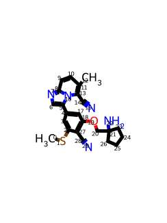 CSc1cc(-c2cnc3ccc(C)c(C#N)n23)cc(OCC2(N)CCCC2)c1C#N